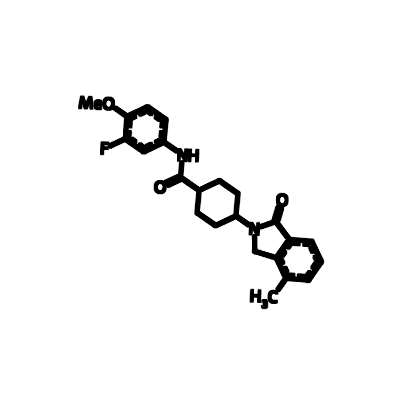 COc1ccc(NC(=O)C2CCC(N3Cc4c(C)cccc4C3=O)CC2)cc1F